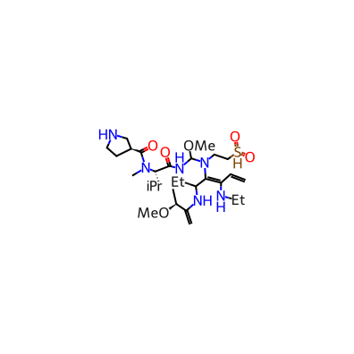 C=C/C(NCC)=C(/C(CC)NC(=C)[C@H](C)OC)N(CC[SH](=O)=O)C(NC(=O)[C@H](C(C)C)N(C)C(=O)[C@H]1CCNC1)OC